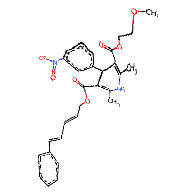 COCCOC(=O)C1=C(C)NC(C)=C(C(=O)OCC=CC=Cc2ccccc2)C1c1cccc([N+](=O)[O-])c1